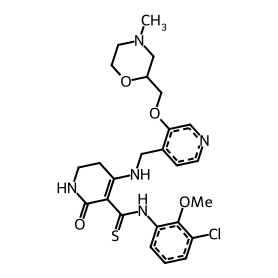 COc1c(Cl)cccc1NC(=S)C1=C(NCc2ccncc2OCC2CN(C)CCO2)CCNC1=O